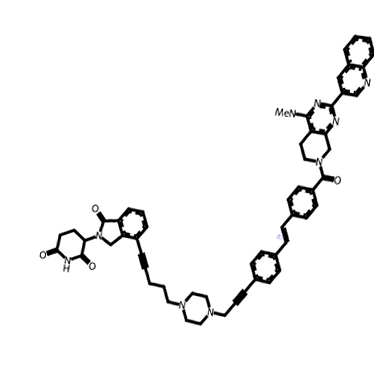 CNc1nc(-c2cnc3ccccc3c2)nc2c1CCN(C(=O)c1ccc(/C=C/c3ccc(C#CCN4CCN(CCCC#Cc5cccc6c5CN(C5CCC(=O)NC5=O)C6=O)CC4)cc3)cc1)C2